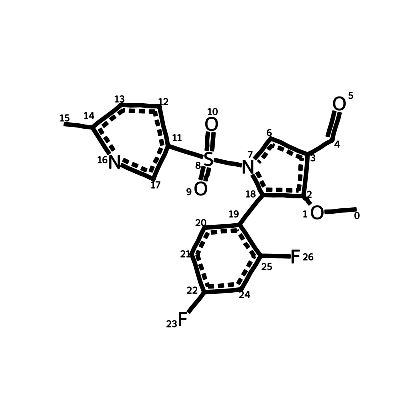 COc1c(C=O)cn(S(=O)(=O)c2ccc(C)nc2)c1-c1ccc(F)cc1F